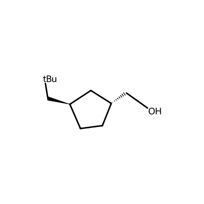 CC(C)(C)C[C@@H]1CC[C@@H](CO)C1